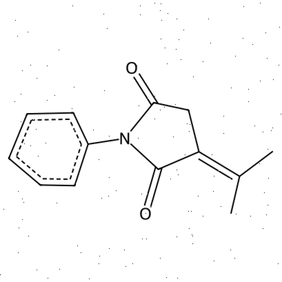 CC(C)=C1CC(=O)N(c2ccccc2)C1=O